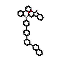 c1ccc(-c2ccccc2N(c2ccc(-c3ccc(-c4cccc(-c5ccc6ccccc6c5)c4)cc3)cc2)c2ccc3sc4ccccc4c3c2)cc1